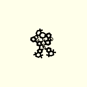 CC1(C)CCC(C)(C)C2=C1C=C(N1c3c4c(cc5c3sc3ccccc35)-c3cc5c(cc3N(c3ccc6c(c3)C(C)(C)CCC6(C)C)B4c3ccc4oc6ccccc6c4c31)C(C)(C)CCC5(C)C)C#CC2